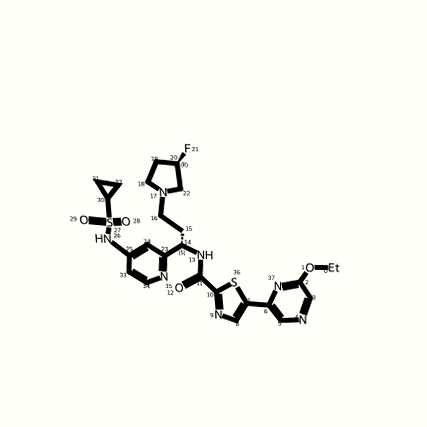 CCOc1cncc(-c2cnc(C(=O)N[C@@H](CCN3CC[C@@H](F)C3)c3cc(NS(=O)(=O)C4CC4)ccn3)s2)n1